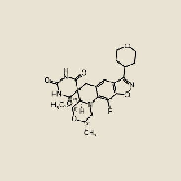 C[C@H]1CN2c3c(cc4c(C5CCOCC5)noc4c3F)CC3(C(=O)NC(=O)NC3=O)[C@@H]2[C@@H](C)O1